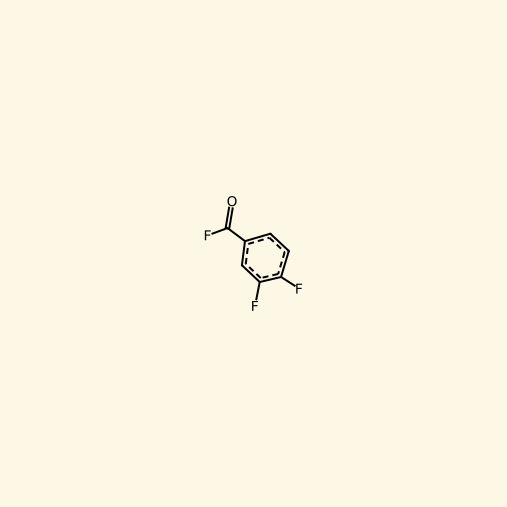 O=C(F)c1ccc(F)c(F)c1